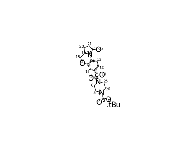 CC(C)(C)OC(=O)N1CCN(S(=O)(=O)c2ccc3c(c2)OCC2CCC(=O)N32)CC1